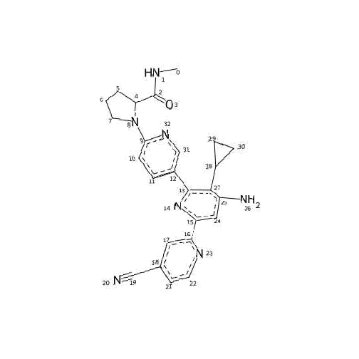 CNC(=O)C1CCCN1c1ccc(-c2nc(-c3cc(C#N)ccn3)cc(N)c2C2CC2)cn1